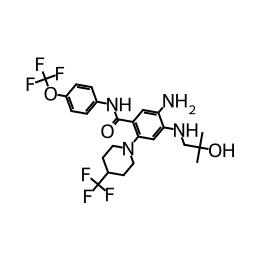 CC(C)(O)CNc1cc(N2CCC(C(F)(F)F)CC2)c(C(=O)Nc2ccc(OC(F)(F)F)cc2)cc1N